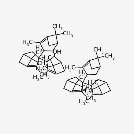 CC1=C2CC(CC1C1(C3C(C)=C4CC(C3O)C4(C)C)CC3CC(=C1C)C3(C)C)C2(C)C.CC1=C2CC(CC1C1(C3CC4CC(=C3C)C4(C)C)CC3CC(=C1C)C3(C)C)C2(C)C